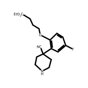 CCOC(=O)CCCOc1ccc(F)cc1C1(C#N)CCNCC1